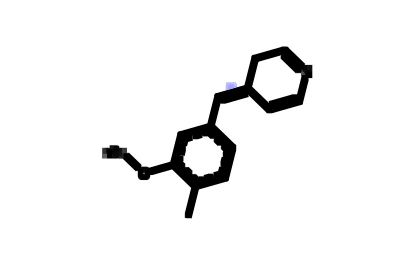 CCCCOc1cc(/C=C2\C=CN=CC2)ccc1C